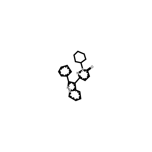 O=c1ccc(-c2c(-c3ccccc3)nn3ccccc23)nn1C1CCCCC1